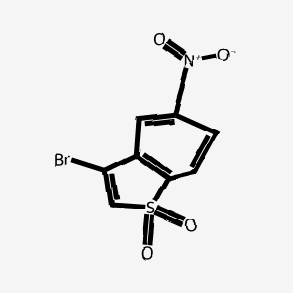 O=[N+]([O-])c1ccc2c(c1)C(Br)=CS2(=O)=O